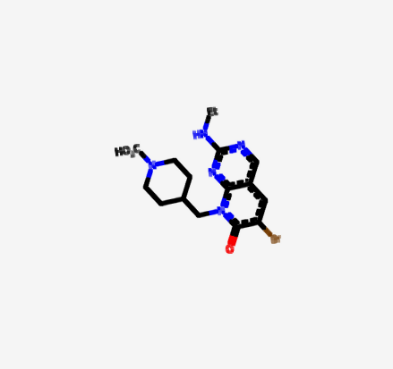 CCNc1ncc2cc(Br)c(=O)n(CC3CCN(C(=O)O)CC3)c2n1